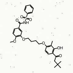 COc1ccc(C(=O)NS(=O)(=O)c2ccccc2)cc1OCCCCOc1ccc(C(=O)CC(C)(C)C)c(O)c1C